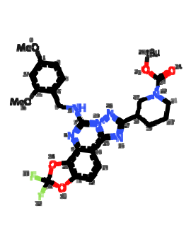 COc1ccc(CNc2nc3c4c(ccc3c3nc(C5CCCN(C(=O)OC(C)(C)C)C5)nn23)OC(F)(F)O4)c(OC)c1